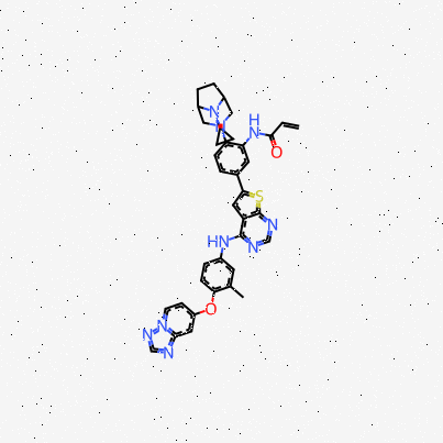 C=CC(=O)Nc1cc(-c2cc3c(Nc4ccc(Oc5ccn6ncnc6c5)c(C)c4)ncnc3s2)ccc1N1CC2CCC(C1)N2C1CC1